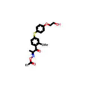 CCC(=O)O/N=C(\C)C(=O)c1ccc(Sc2ccc(OCCO)cc2)cc1SC